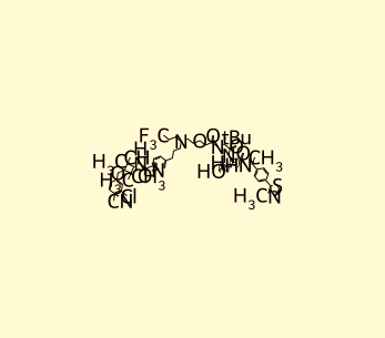 Cc1ncsc1-c1ccc(C(C)NC(=O)[C@@H]2C[C@@H](O)CN2C(=O)C(NC(=O)COCCN(CCCc2ccc(C(=O)N[C@H]3C(C)(C)[C@H](Oc4ccc(C#N)c(Cl)c4)C3(C)C)nc2)CCC(F)(F)F)C(C)(C)C)cc1